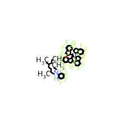 CCCC(CC)CCC(C)C[NH+](CCC)c1c(F)c(F)c(F)c(F)c1F.FC1=C(F)[CH]([Al-]([CH]2C(F)=C(F)c3c2cc(F)c(F)c3F)([CH]2C(F)=C(F)c3c2cc(F)c(F)c3F)[CH]2C(F)=C(F)c3c2cc(F)c(F)c3F)c2cc(F)c(F)c(F)c21